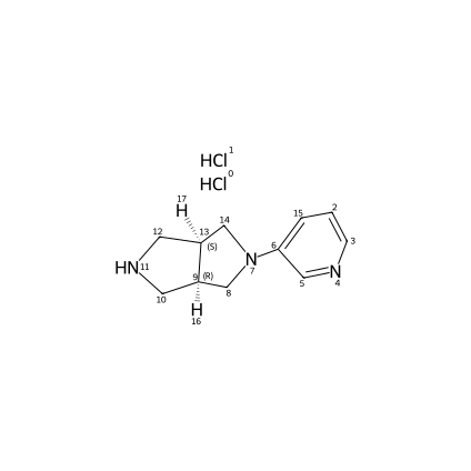 Cl.Cl.c1cncc(N2C[C@H]3CNC[C@H]3C2)c1